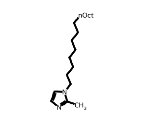 CCCCCCCCCCCCCCCCn1ccnc1C